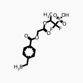 BCc1ccc(C(=O)OCC(=O)OC(C)C(F)(F)S(=O)(=O)O)cc1